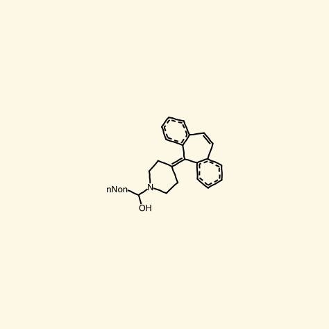 CCCCCCCCCC(O)N1CCC(=C2c3ccccc3C=Cc3ccccc32)CC1